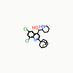 OC(c1cc(C23CC4CCC(C2)C(C4)C3)nc2c(Cl)cc(Cl)cc12)C1CCCCN1